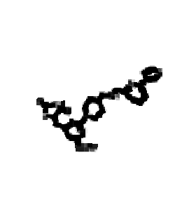 COc1cc(C=C2SC(=O)NC2=O)nc(N2CCC(CNCc3cccc(-c4ccsc4)n3)CC2)n1